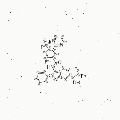 O=C(Nc1c2ccc(C(O)C(F)F)cc2nn1-c1ccccc1)c1cc(-c2ncccn2)c(C(F)(F)F)cc1F